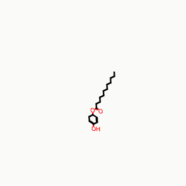 CCCCCCCCCCCC(=O)OC1C=CC(O)=CC1